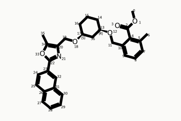 COC(=O)c1c(C)cccc1CO[C@@H]1CCC[C@H](OCc2nc(-c3ccc4ccccc4c3)oc2C)C1